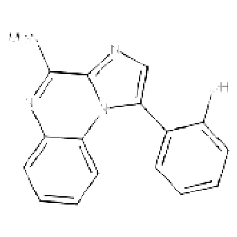 CNc1nc2ccccc2n2c(-c3ccccc3O)cnc12